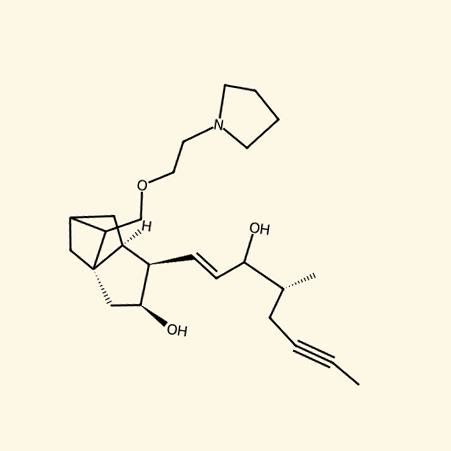 CC#CC[C@@H](C)C(O)/C=C/[C@H]1[C@@H](O)C[C@@]23CC(C[C@@H]12)C3COCCN1CCCC1